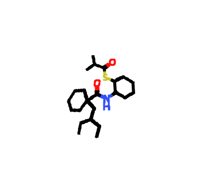 CCC(CC)CC1(C(=O)NC2CCCCC2SC(=O)C(C)C)CCCCC1